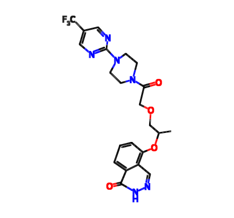 CC(COCC(=O)N1CCN(c2ncc(C(F)(F)F)cn2)CC1)Oc1cccc2c(=O)[nH]ncc12